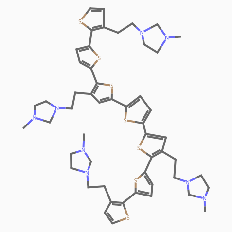 CN1CCN(CCc2ccsc2-c2ccc(-c3sc(-c4ccc(-c5cc(CCN6CCN(C)C6)c(-c6ccc(-c7sccc7CCN7CCN(C)C7)s6)s5)s4)cc3CCN3CCN(C)C3)s2)C1